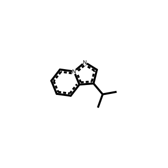 CC(C)c1cnn2ccccc12